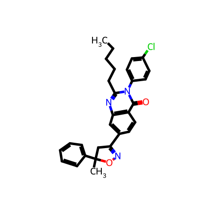 CCCCCc1nc2cc(C3=NOC(C)(c4ccccc4)C3)ccc2c(=O)n1-c1ccc(Cl)cc1